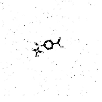 [N-]=[N+](c1ccc(C(=O)O)cc1)S(=O)(=O)O